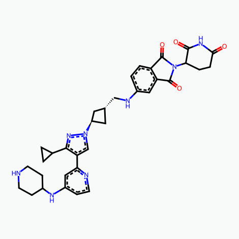 O=C1CCC(N2C(=O)c3ccc(NC[C@H]4C[C@H](n5cc(-c6cc(NC7CCNCC7)ccn6)c(C6CC6)n5)C4)cc3C2=O)C(=O)N1